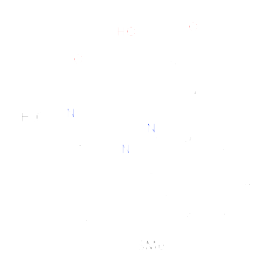 CSC1CCC2N(C)C(=O)c3c(O)c(=O)ccn3N2C1c1ccccc1